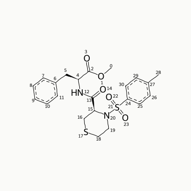 COC(=O)[C@H](Cc1ccccc1)NC(=O)[C@@H]1CSCCN1S(=O)(=O)c1ccc(C)cc1